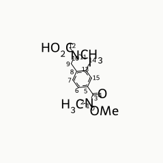 CON(C)C(=O)c1ccc(CN(C)C(=O)O)c(I)c1